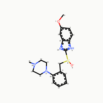 COc1ccc2[nH]c([S+]([O-])Cc3ccccc3N3CCN(C)CC3)nc2c1